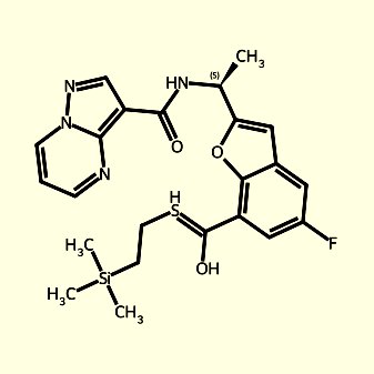 C[C@H](NC(=O)c1cnn2cccnc12)c1cc2cc(F)cc(C(O)=[SH]CC[Si](C)(C)C)c2o1